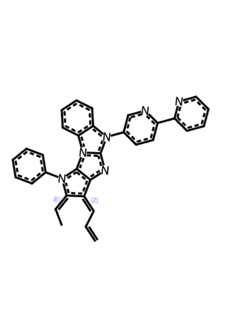 C=C/C=c1\c(=C/C)n(-c2ccccc2)c2c1nc1n(-c3ccc(-c4ccccn4)nc3)c3ccccc3n21